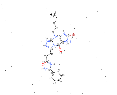 CCCCCn1c2nc(Br)[nH]c2c(=O)n2c(CCc3nc(-c4ccccc4)no3)nnc12